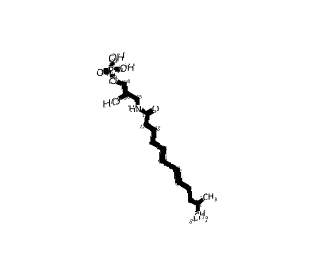 CC(C)CCCCCCCCCC(=O)NCC(O)COP(=O)(O)O